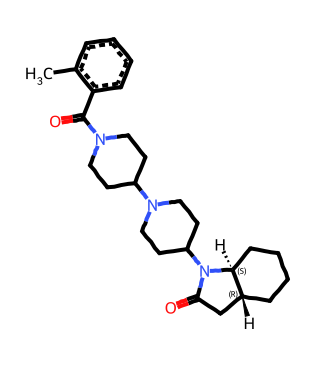 Cc1ccccc1C(=O)N1CCC(N2CCC(N3C(=O)C[C@H]4CCCC[C@@H]43)CC2)CC1